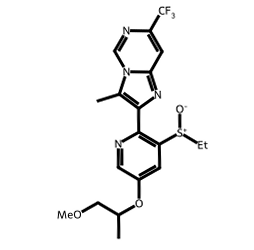 CC[S+]([O-])c1cc(OC(C)COC)cnc1-c1nc2cc(C(F)(F)F)ncn2c1C